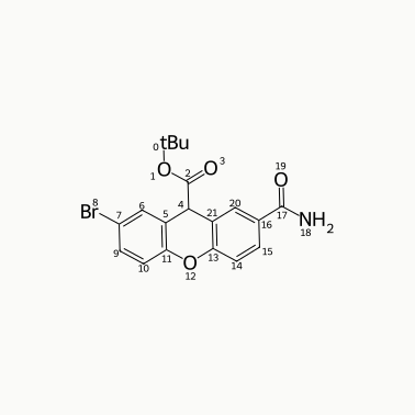 CC(C)(C)OC(=O)C1c2cc(Br)ccc2Oc2ccc(C(N)=O)cc21